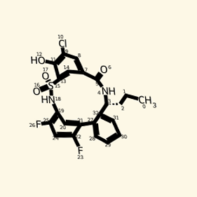 CCC[C@H]1NC(=O)c2cc(Cl)c(O)c(c2)S(=O)(=O)Nc2cc(c(F)cc2F)-c2ccccc21